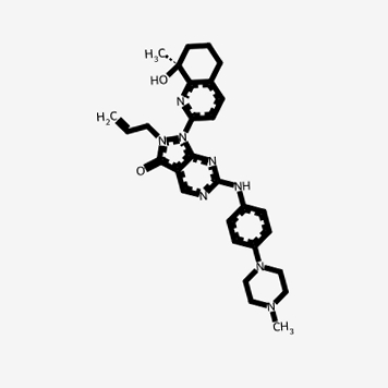 C=CCn1c(=O)c2cnc(Nc3ccc(N4CCN(C)CC4)cc3)nc2n1-c1ccc2c(n1)[C@@](C)(O)CCC2